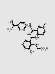 Cc1ccc(NCc2cccc(O)c2OCC(=O)O)c(C(=O)Nc2ccc(C(=N)N)cc2)c1